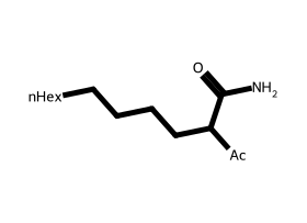 CCCCCCCCCCC(C(C)=O)C(N)=O